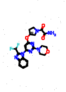 NC(=O)C(=O)N1CC[C@H](Oc2cc(-n3c(C(F)F)nc4ccccc43)nc(N3CCOCC3)n2)C1